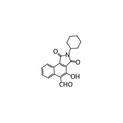 O=Cc1c(O)c2c(c3ccccc13)C(=O)N(C1CCCCC1)C2=O